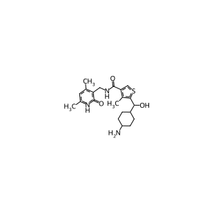 Cc1cc(C)c(CNC(=O)c2csc(C(O)C3CCC(N)CC3)c2C)c(=O)[nH]1